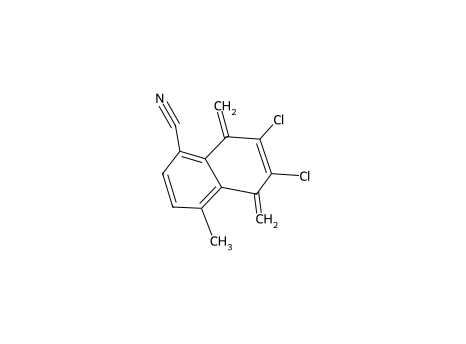 C=c1c(Cl)c(Cl)c(=C)c2c(C#N)ccc(C)c12